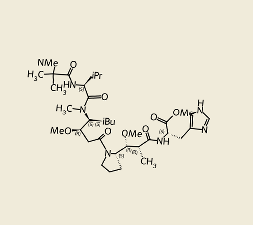 CC[C@H](C)[C@@H]([C@@H](CC(=O)N1CCC[C@H]1[C@H](OC)[C@@H](C)C(=O)N[C@@H](Cc1c[nH]cn1)C(=O)OC)OC)N(C)C(=O)[C@@H](NC(=O)C(C)(C)NC)C(C)C